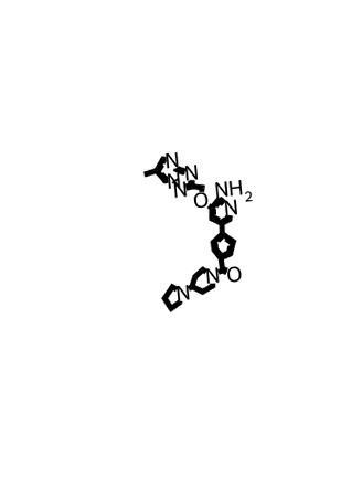 Cc1cnc2nc(COc3cc(-c4ccc(C(=O)N5CCC(N6CCCC6)CC5)cc4)cnc3N)nn2c1